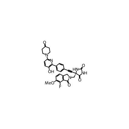 COc1ccc2c(c1F)C(=O)N(C[C@@]1(C#Cc3ccc(-c4nc(N5CCC(=O)CC5)ccc4O)cc3)NC(=O)NC1=O)C2